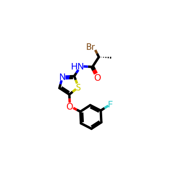 C[C@@H](Br)C(=O)Nc1ncc(Oc2cccc(F)c2)s1